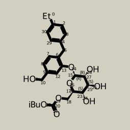 CCc1ccc(Cc2ccc(CO)cc2O[C@H]2O[C@H](COC(=O)OCC(C)C)[C@@H](O)[C@H](O)[C@H]2O)cc1